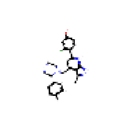 Cc1n[nH]c2nc(-c3ccc(O)cc3F)cc(CN3CCNC[C@@H]3c3ccc(C(F)(F)F)cc3)c12